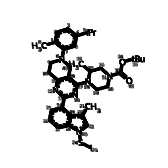 Cc1ccc(C(C)C)cc1N1CCc2nc(-c3cccc4c3c(C)cn4SI)nc(N3CCN(C(=O)OC(C)(C)C)CC3C)c2C1